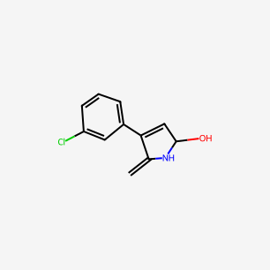 C=C1NC(O)C=C1c1cccc(Cl)c1